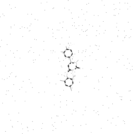 COc1ccc(-c2c/c(=N/c3c(C)cc(C)cc3C)[nH]c(=O)n2C)cc1OC